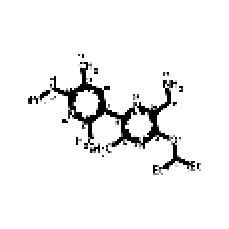 CCC(CC)Oc1nc(C)c(-c2cc(C)c(NC(C)C)nc2C)nc1CN